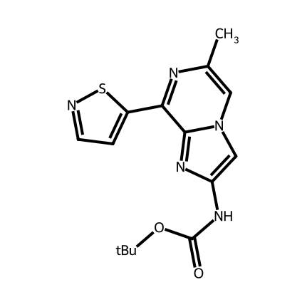 Cc1cn2cc(NC(=O)OC(C)(C)C)nc2c(-c2ccns2)n1